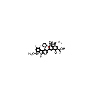 CNc1cc(F)c(F)c2c1[nH]c1ncc(-c3cnc4c(c3)c(=O)c(C(=O)O)cn4NC)c(N3CCC[C@H]3CN(C)C)c12